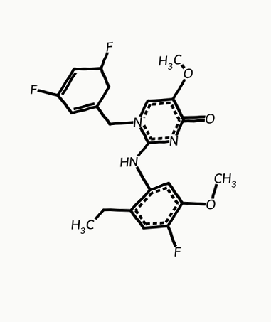 CCc1cc(F)c(OC)cc1Nc1nc(=O)c(OC)cn1CC1=CC(F)=CC(F)C1